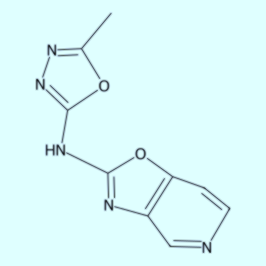 Cc1nnc(Nc2nc3cnccc3o2)o1